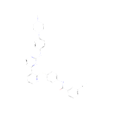 CN1CCN(c2ccc(Nc3nccc(-c4cccnc4Sc4ccc(NC(=O)c5cccc(C(F)(F)F)c5)cc4)n3)cc2)CC1